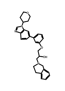 OC(COc1cccc(-c2ccc3ncn(C4CCOCC4)c3c2)c1)CN1CCc2ccccc2C1